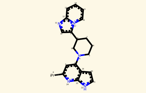 CC(C)c1cc(N2CCCC(c3cnc4ccccn34)C2)c2cc[nH]c2n1